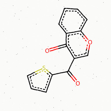 O=C(c1cccs1)c1coc2ccccc2c1=O